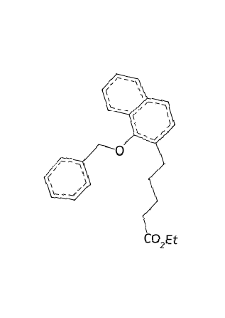 CCOC(=O)CCCCc1ccc2ccccc2c1OCc1ccccc1